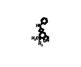 CC1(C)CC2(Cc3cnoc31)CC(Nc1ccccc1)C2